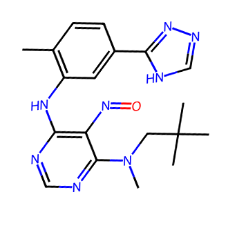 Cc1ccc(-c2nnc[nH]2)cc1Nc1ncnc(N(C)CC(C)(C)C)c1N=O